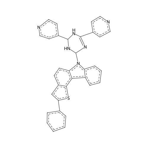 c1ccc(-c2cc3ccc4c(c5ccccc5n4C4N=C(c5ccncc5)NC(c5ccncc5)N4)c3s2)cc1